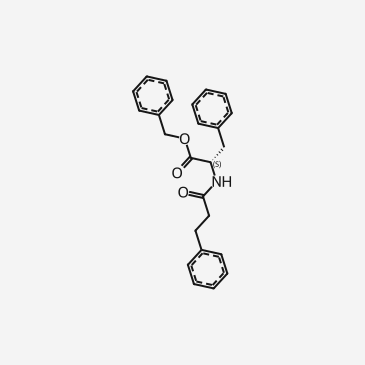 O=C(CCc1ccccc1)N[C@@H](Cc1ccccc1)C(=O)OCc1ccccc1